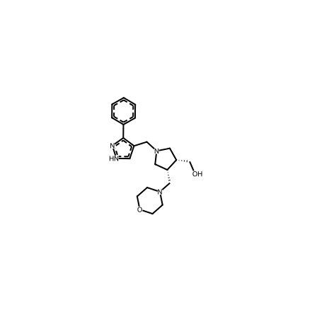 OC[C@H]1CN(Cc2c[nH]nc2-c2ccccc2)C[C@H]1CN1CCOCC1